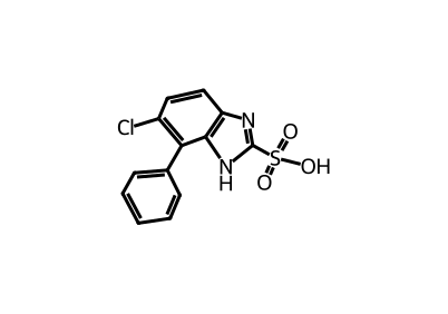 O=S(=O)(O)c1nc2ccc(Cl)c(-c3ccccc3)c2[nH]1